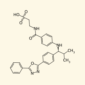 CC(C)[C@H](Nc1ccc(C(=O)NCCS(=O)(=O)O)cc1)c1ccc(-c2nnc(-c3ccccc3)o2)cc1